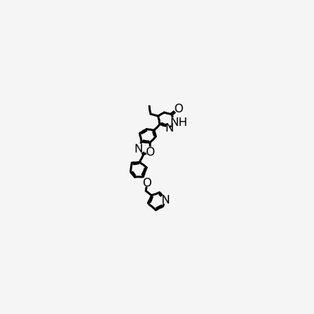 CCC1CC(=O)NN=C1c1ccc2nc(-c3cccc(OCc4cccnc4)c3)oc2c1